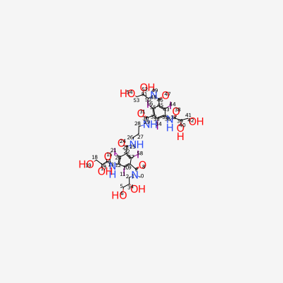 CN(CC(O)CO)C(=O)c1c(I)c(NC(=O)C(O)CO)c(I)c(C(=O)NCCCNC(=O)c2c(I)c(NC(=O)C(O)CO)c(I)c(C(=O)N(C)CC(O)CO)c2I)c1I